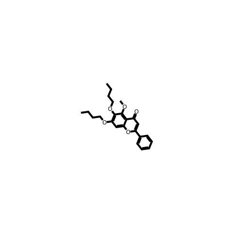 CCCCOc1cc2oc(-c3ccccc3)cc(=O)c2c(OC)c1OCCCC